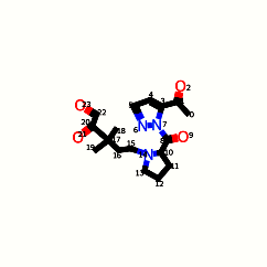 CC(=O)c1ccnn1C(=O)C1CCCN1CCC(C)(C)C(=O)C=O